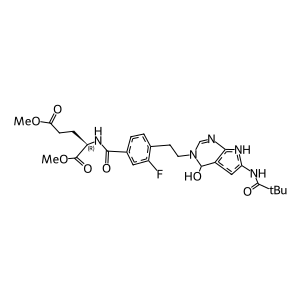 COC(=O)CC[C@@H](NC(=O)c1ccc(CCN2C=Nc3[nH]c(NC(=O)C(C)(C)C)cc3C2O)c(F)c1)C(=O)OC